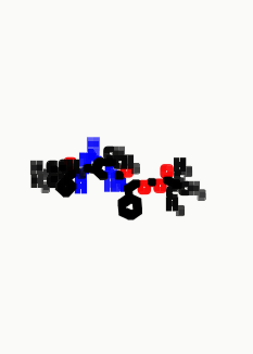 CC(C)(C)C(=O)OCOCC(NC(=O)N1Cc2c(NC(=O)C3([Si](C)(C)C)CCC3)n[nH]c2C1(C)C)c1ccccc1